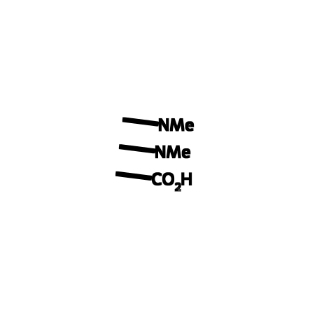 CC(=O)O.CNC.CNC